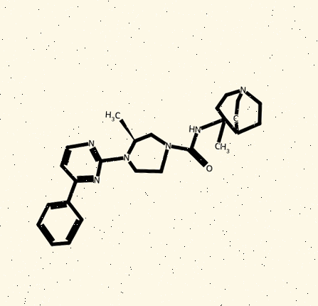 C[C@H]1CN(C(=O)NC2(C)CCN3CCC2CC3)CCN1c1nccc(-c2ccccc2)n1